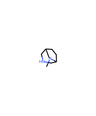 CN1CC2CCC1CNC2